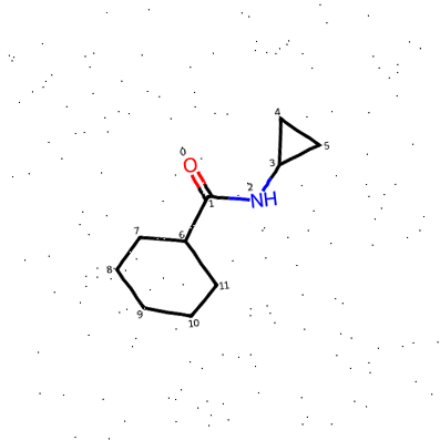 O=C(NC1CC1)C1CCCCC1